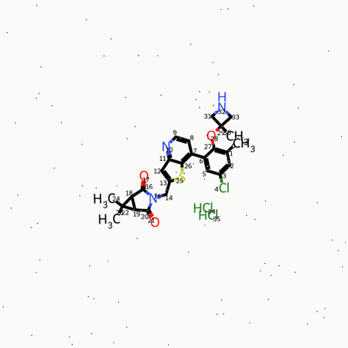 Cc1cc(Cl)cc(-c2ccnc3cc(CN4C(=O)C5C(C4=O)C5(C)C)sc23)c1OC1(C)CNC1.Cl.Cl